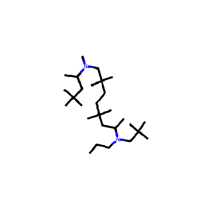 CCCN(CC(C)(C)C)C(C)CC(C)(C)CCC(C)(C)CN(C)C(C)CC(C)(C)C